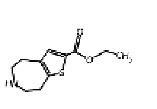 CCOC(=O)c1cc2c(s1)CCNCC2